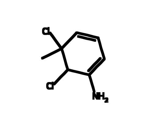 CC1(Cl)C=CC=C(N)C1Cl